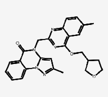 Cc1ccc2nc(Cn3c(=O)c4ccccc4n4nc(C)cc34)nc(OCC3CCOC3)c2c1